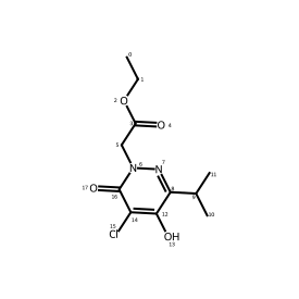 CCOC(=O)Cn1nc(C(C)C)c(O)c(Cl)c1=O